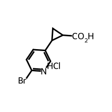 Cl.O=C(O)C1CC1c1ccc(Br)nc1